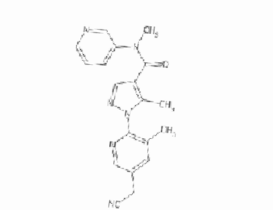 Cc1cc(CC#N)cnc1-n1ncc(C(=O)N(C)c2cccnc2)c1C